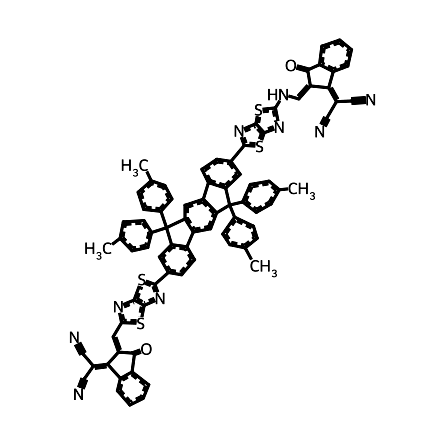 Cc1ccc(C2(c3ccc(C)cc3)c3cc(-c4nc5sc(/C=C6\C(=O)c7ccccc7C6=C(C#N)C#N)nc5s4)ccc3-c3cc4c(cc32)-c2ccc(-c3nc5sc(N/C=C6\C(=O)c7ccccc7C6=C(C#N)C#N)nc5s3)cc2C4(c2ccc(C)cc2)c2ccc(C)cc2)cc1